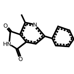 Cc1nc(-c2ccccc2)cc2c1C(=O)NC2=O